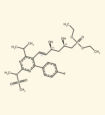 CCOP(=O)(C[C@H](O)C[C@H](O)/C=C/c1c(-c2ccc(F)cc2)nc(N(C)S(C)(=O)=O)nc1C(C)C)OCC